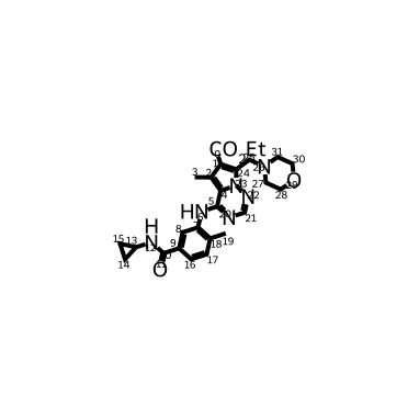 CCOC(=O)c1c(C)c2c(Nc3cc(C(=O)NC4CC4)ccc3C)ncnn2c1CN1CCOCC1